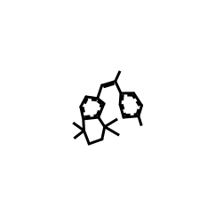 CC(=Cc1ccc2c(c1)C(C)(C)CCC2(C)C)c1ccc(C)cc1